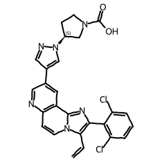 C=Cc1c(-c2c(Cl)cccc2Cl)nc2c3cc(-c4cnn([C@H]5CCN(C(=O)O)C5)c4)cnc3ccn12